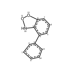 c1ccc(-c2cccc3c2NOO3)cc1